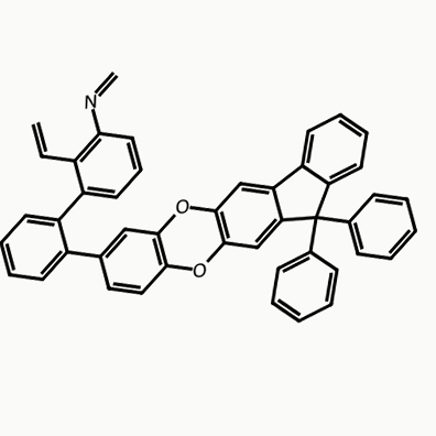 C=Cc1c(N=C)cccc1-c1ccccc1-c1ccc2c(c1)Oc1cc3c(cc1O2)C(c1ccccc1)(c1ccccc1)c1ccccc1-3